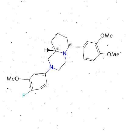 COc1cc(N2CCN3[C@@H](CCC[C@@H]3c3ccc(OC)c(OC)c3)C2)ccc1F